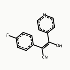 N#CC(=C(O)c1ccncc1)c1ccc(F)cc1